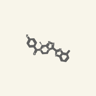 Cc1cccc2sc(-c3nnc4n3CCN(C(=O)c3ccc(F)cc3)[C@@H]4C)nc12